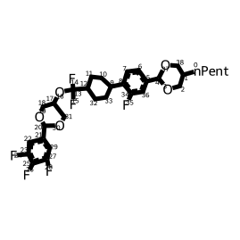 CCCCCC1COC(c2ccc(C3CCC(C(F)(F)OC4COC(c5cc(F)c(F)c(F)c5)OC4)CC3)c(F)c2)OC1